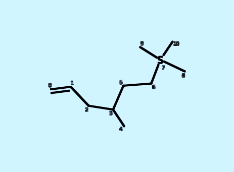 C=CCC(C)CCS(C)(C)C